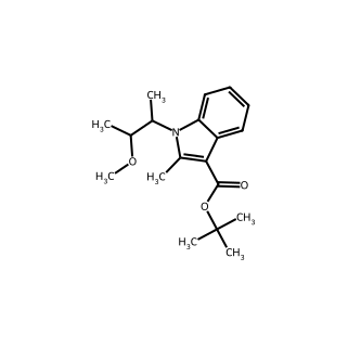 COC(C)C(C)n1c(C)c(C(=O)OC(C)(C)C)c2ccccc21